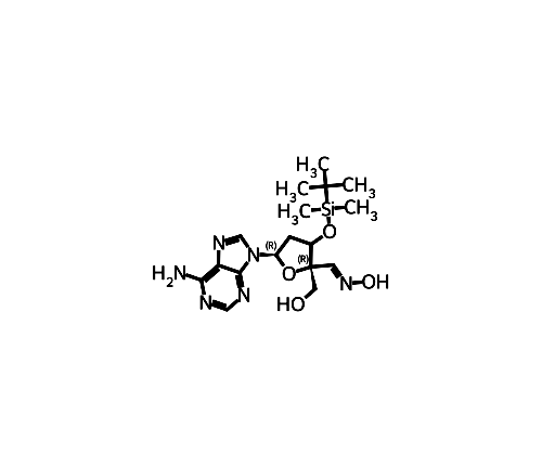 CC(C)(C)[Si](C)(C)OC1C[C@H](n2cnc3c(N)ncnc32)O[C@]1(C=NO)CO